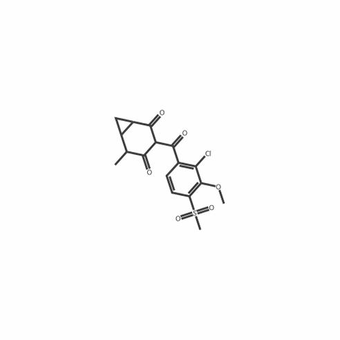 COc1c(S(C)(=O)=O)ccc(C(=O)C2C(=O)C(C)C3CC3C2=O)c1Cl